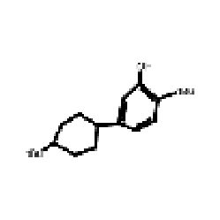 CC(C)(C)c1ccc(C2CCC(C(C)(C)C)CC2)cc1O